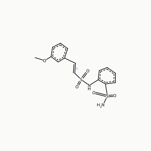 COc1cccc(/C=C/S(=O)(=O)Nc2ccccc2S(N)(=O)=O)c1